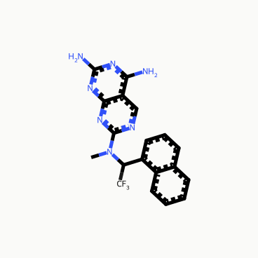 CN(c1ncc2c(N)nc(N)nc2n1)C(c1cccc2ccccc12)C(F)(F)F